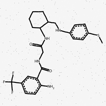 CSc1ccc(NCC2CCCCC2NC(=O)CNC(=O)c2cc(C(F)(F)F)ccc2N)cc1